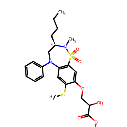 CCCC[C@@H]1CN(c2ccccc2)c2cc(SC)c(OCC(O)C(=O)OC)cc2S(=O)(=O)N1C